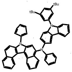 CC(C)(C)c1cc(-n2c3ccccc3c3cc(N(c4ccccc4)c4cc5c(c6ccccc46)c4c6ccccc6ccc4n5-c4ccccc4)ccc32)cc(C(C)(C)C)c1